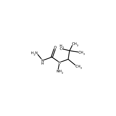 CC(N(N)C(=O)NN)C(C)(C)C